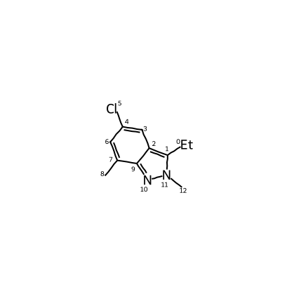 CCc1c2cc(Cl)cc(C)c2nn1C